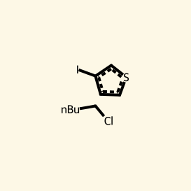 CCCCCCl.Ic1ccsc1